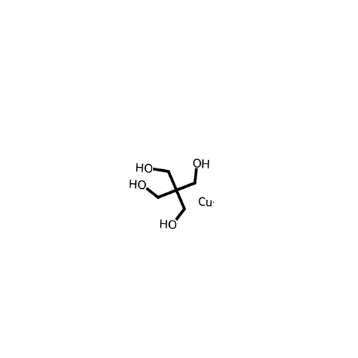 OCC(CO)(CO)CO.[Cu]